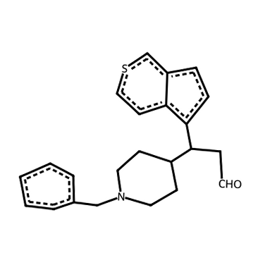 O=CCC(c1ccc2csccc1-2)C1CCN(Cc2ccccc2)CC1